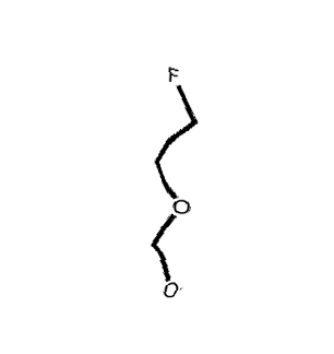 [O]COCCF